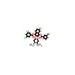 CCCCOc1c(OCCCC)c(OC(=O)c2cccc(Br)c2)c2cc(Cl)ccc2c1OC(=O)c1cc(Cl)cc(Cl)c1